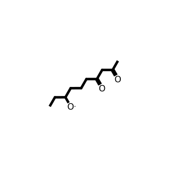 CCC([O])CCCC(=O)CC(C)=O